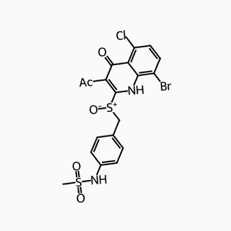 CC(=O)c1c([S+]([O-])Cc2ccc(NS(C)(=O)=O)cc2)[nH]c2c(Br)ccc(Cl)c2c1=O